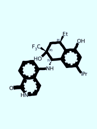 CC[C@@H]1C[C@](O)(C(F)(F)F)[C@@H](Nc2cccc3c(=O)[nH]ccc23)c2cc(C(C)C)cc(O)c21